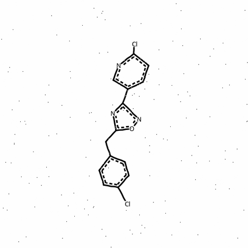 Clc1ccc(Cc2nc(-c3ccc(Cl)nc3)no2)cc1